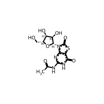 CC(=O)Nc1nc2c(sc(=O)n2[C@@H]2O[C@H](CO)[C@@H](O)[C@H]2O)c(=O)[nH]1